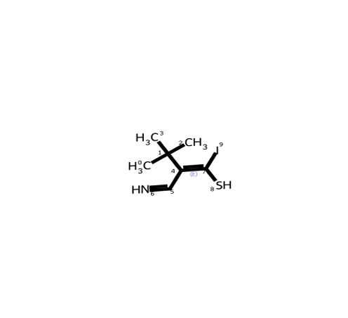 CC(C)(C)/C(C=N)=C(/S)I